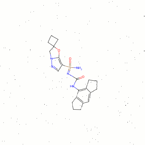 NS(=O)(=NC(=O)Nc1c2c(cc3c1CCC3)CCC2)c1cnn2c1OC1(CCC1)C2